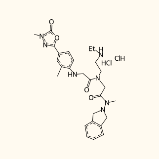 CCNCCN(CC(=O)N(C)N1Cc2ccccc2C1)C(=O)CNc1ccc(-c2nn(C)c(=O)o2)cc1C.Cl.Cl